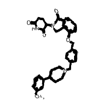 Cc1cccc(C2CCN(Cc3ccc(COc4cccc5c4CN(C4CCC(=O)NC4=O)C5=O)cc3)CC2)c1